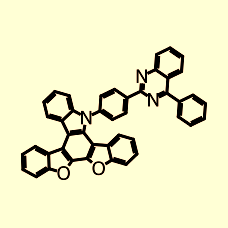 c1ccc(-c2nc(-c3ccc(-n4c5ccccc5c5c6c7ccccc7oc6c6oc7ccccc7c6c54)cc3)nc3ccccc23)cc1